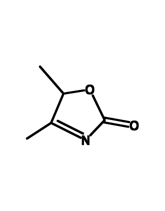 CC1=NC(=O)OC1C